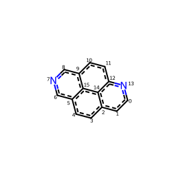 c1cc2ccc3cncc4ccc(n1)c2c34